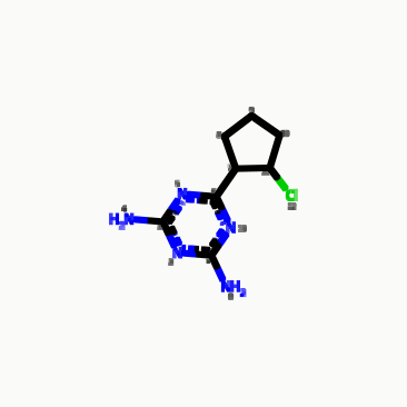 Nc1nc(N)nc(C2CCCC2Cl)n1